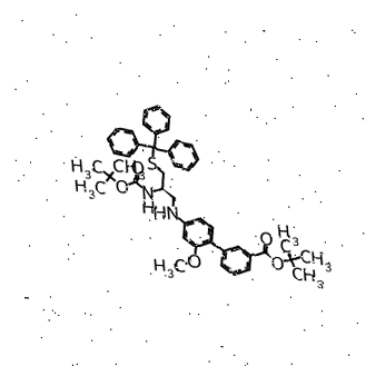 COc1cc(NC[C@H](CSC(c2ccccc2)(c2ccccc2)c2ccccc2)NC(=O)OC(C)(C)C)ccc1-c1cccc(C(=O)OC(C)(C)C)c1